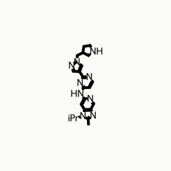 Cc1nc2cnc(Nc3ccnc(-c4cnn(CC5CCNC5)c4)n3)cc2n1C(C)C